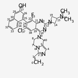 C=Cc1ncc2n1CCN(c1nc(N3CC(N(C)C)C3)nc3c(F)c(-c4cc(O)cc5ccccc45)c(Cl)cc13)C2